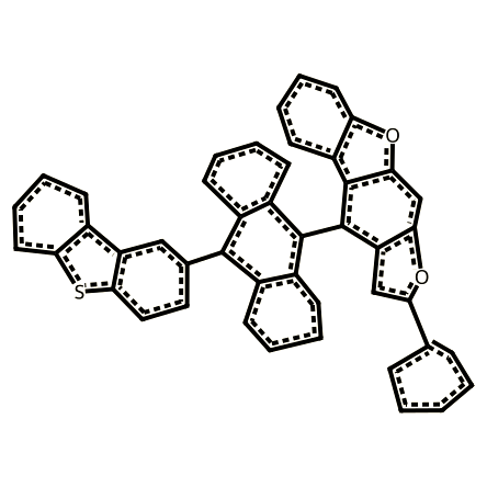 c1ccc(-c2cc3c(-c4c5ccccc5c(-c5ccc6sc7ccccc7c6c5)c5ccccc45)c4c(cc3o2)oc2ccccc24)cc1